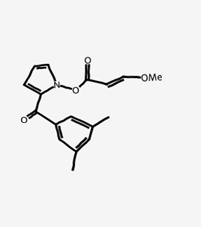 COC=CC(=O)On1cccc1C(=O)c1cc(C)cc(C)c1